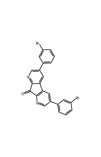 O=C1c2ncc(-c3cccc(Br)c3)cc2-c2cc(-c3cccc(Br)c3)cnc21